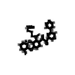 CNCCCN(C)c1c(NC(=O)c2cncc(-c3ccnnc3)n2)ccc(Oc2ccccc2F)c1C(F)(F)F